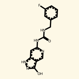 O=C(NCc1cccc(F)c1)Nc1cc2[nH]nc(O)c2cn1